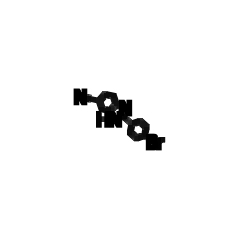 N#Cc1ccc2nc(-c3ccc(Br)cc3)[nH]c2c1